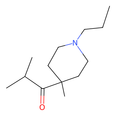 CCCN1CCC(C)(C(=O)C(C)C)CC1